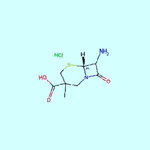 CC1(C(=O)O)CS[C@@H]2C(N)C(=O)N2C1.Cl